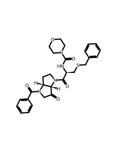 O=C1CN(C(=O)c2ccccc2)[C@@H]2CCN(C(=O)[C@H](CSCc3ccccc3)NC(=O)N3CCOCC3)[C@H]12